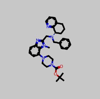 Cn1c(CN(Cc2ccccc2)[C@H]2CCCc3cccnc32)nc2cccc(N3CCN(C(=O)OC(C)(C)C)CC3)c21